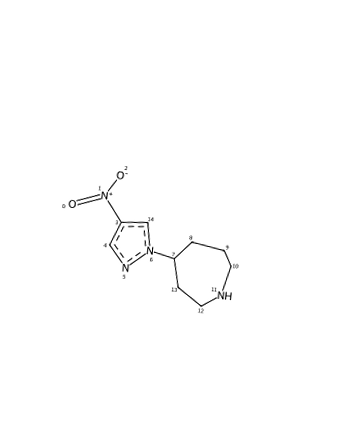 O=[N+]([O-])c1cnn(C2CCCNCC2)c1